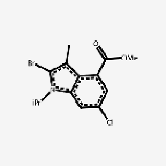 COC(=O)c1cc(Cl)cc2c1c(C)c(Br)n2C(C)C